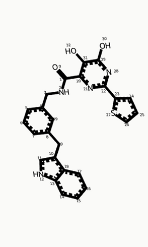 O=C(NCc1cccc(Cc2c[nH]c3ccccc23)c1)c1nc(-c2cccs2)nc(O)c1O